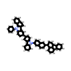 c1ccc(-n2c3ccc(-c4ccc5c(c4)c4ccccc4n5-c4ccc5cc(-c6ccc7c8c(cccc68)-c6ccccc6-7)ccc5c4)cc3c3ccc4ccccc4c32)cc1